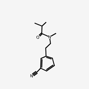 CC(C)C(=O)N(C)CCc1cccc(C#N)c1